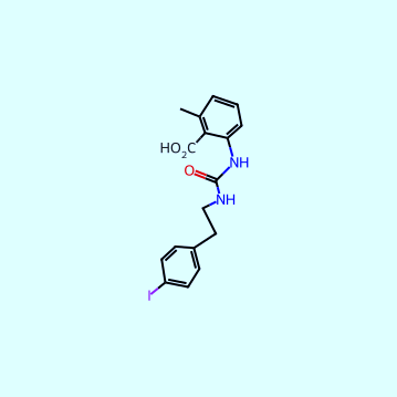 Cc1cccc(NC(=O)NCCc2ccc(I)cc2)c1C(=O)O